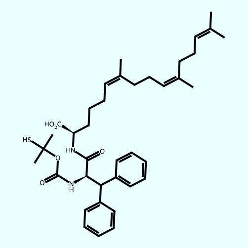 CC(C)=CCCC(C)=CCCC(C)=CCCC[C@@H](NC(=O)[C@H](NC(=O)OC(C)(C)S)C(c1ccccc1)c1ccccc1)C(=O)O